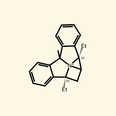 CC[C@]12CC3[C@]4(CC)c5ccccc5C(C)(c5ccccc51)[N+]324